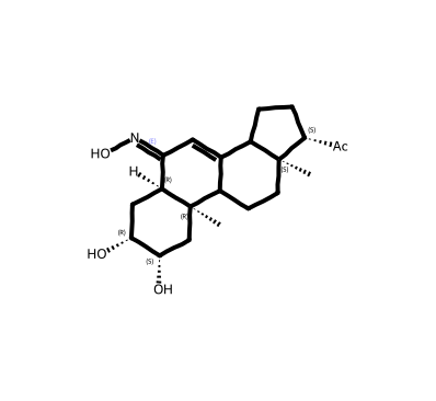 CC(=O)[C@H]1CCC2C3=C/C(=N/O)[C@@H]4C[C@@H](O)[C@@H](O)C[C@]4(C)C3CC[C@@]21C